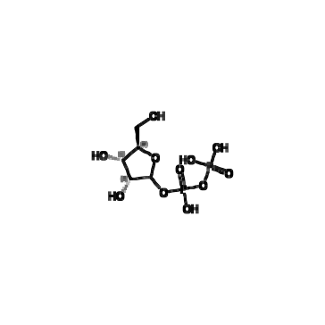 O=P(O)(O)OP(=O)(O)OC1O[C@H](CO)[C@@H](O)[C@H]1O